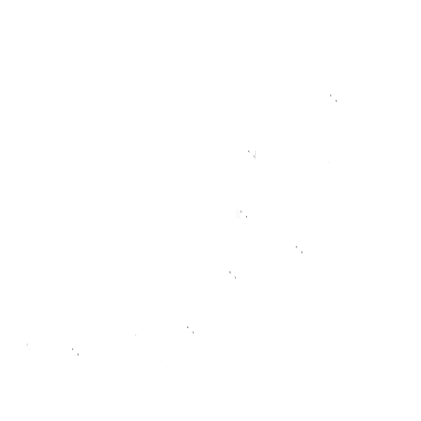 CC(=O)N1CCC2(CCN(c3cccc4cnc(Nc5ccc(N6CCOCC6)cn5)nc34)C2)C1